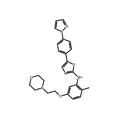 Cc1ccc(OCCN2CCOCC2)cc1Nc1ncc(-c2ccc(-n3cccn3)cc2)o1